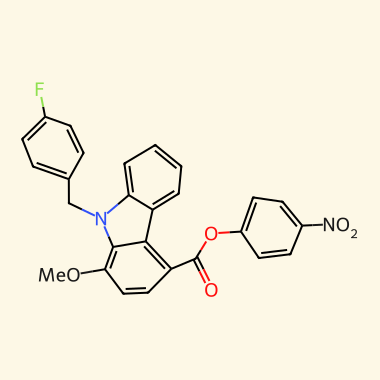 COc1ccc(C(=O)Oc2ccc([N+](=O)[O-])cc2)c2c3ccccc3n(Cc3ccc(F)cc3)c12